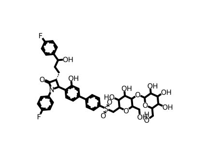 O=C1[C@H](CCC(O)c2ccc(F)cc2)C(c2ccc(-c3ccc(S(=O)(=O)CC4OC(CO)C(OC5OC(CO)C(O)C(O)C5O)C(O)C4O)cc3)cc2O)N1c1ccc(F)cc1